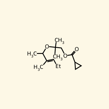 CCC=C(C)C(C)OC(C)(C)COC(=O)C1CC1